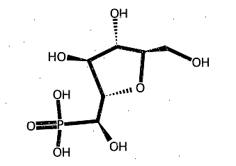 O=P(O)(O)[C@H](O)[C@H]1O[C@H](CO)[C@@H](O)[C@@H]1O